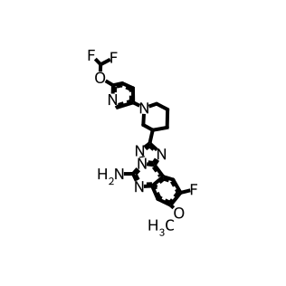 COc1cc2nc(N)n3nc(C4CCCN(c5ccc(OC(F)F)nc5)C4)nc3c2cc1F